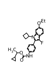 CCOc1ccc2c(F)c(-c3ccc(NC(=O)OC(C)C4CC4)cc3)n(C3CCC3)c2c1